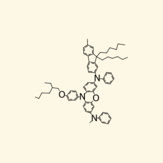 CCCCCCC1(CCCCCC)c2cc(C)ccc2-c2ccc(N(c3ccccc3)c3ccc4c(c3)Oc3cc(N(C)c5ccccc5)ccc3N4c3ccc(OCC(CC)CCCC)cc3)cc21